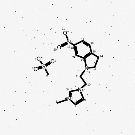 CS(=O)(=O)[O-].C[n+]1ccn(CCN2CCc3ccc([N+](=O)[O-])cc32)c1